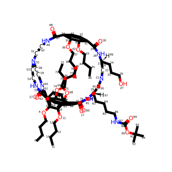 CCCCOc1c2ccc(c1OCCCC)C(=O)NCCN1C[C@H](CCCO)NC(=O)c3ccc(c(OCCCC)c3OCCCC)C(=O)NCCN(CCNC2=O)CCNC(=O)c2ccc(c(OCCCC)c2OCCCC)C(=O)N[C@@H](CCCCNC(=O)OC(C)(C)C)C1